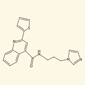 O=C(NCCCn1ccnc1)c1cc(-c2cccs2)nc2ccccc12